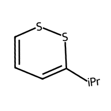 CC(C)C1=CC=CSS1